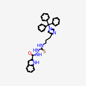 O=C(NNC(=S)NCCCc1cn(C(c2ccccc2)(c2ccccc2)c2ccccc2)cn1)c1cc2ccccc2[nH]1